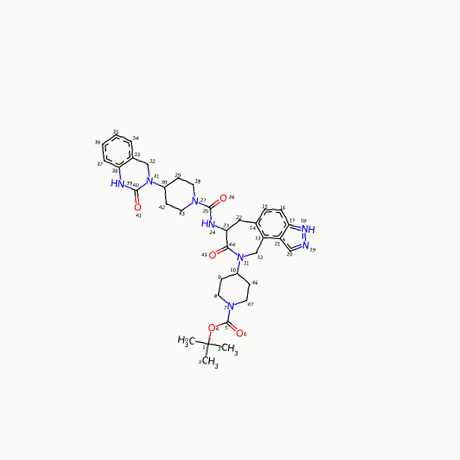 CC(C)(C)OC(=O)N1CCC(N2Cc3c(ccc4[nH]ncc34)CC(NC(=O)N3CCC(N4Cc5ccccc5NC4=O)CC3)C2=O)CC1